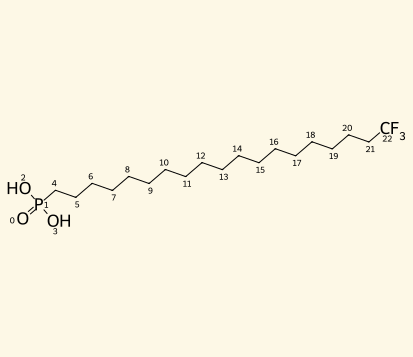 O=P(O)(O)CCCCCCCCCCCCCCCCCCC(F)(F)F